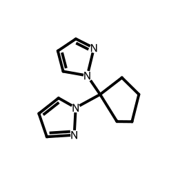 c1cnn(C2(n3cccn3)CCCC2)c1